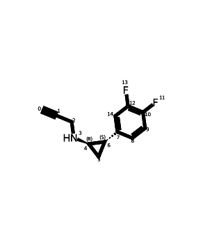 C#CCN[C@@H]1C[C@H]1c1ccc(F)c(F)c1